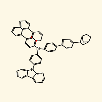 c1ccc(-c2cccc3cccc(-c4ccc(N(c5ccc(-c6ccc(C7CC8CCC7C8)cc6)cc5)c5ccc(-n6c7ccccc7c7ccccc76)cc5)cc4)c23)cc1